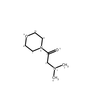 CN(C)CC(=O)N1CCOCC1